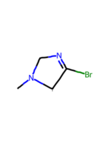 CN1[CH]C(Br)=NC1